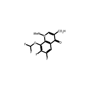 CNn1cc(C(=O)O)c(=O)c2cc(F)c(F)c(OC(F)F)c21